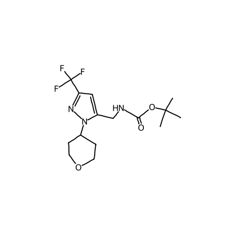 CC(C)(C)OC(=O)NCc1cc(C(F)(F)F)nn1C1CCOCC1